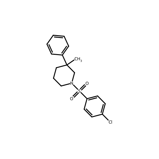 CC1(c2ccccc2)CCCN(S(=O)(=O)c2ccc(Cl)cc2)C1